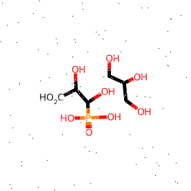 O=C(O)C(O)C(O)P(=O)(O)O.OCC(O)CO